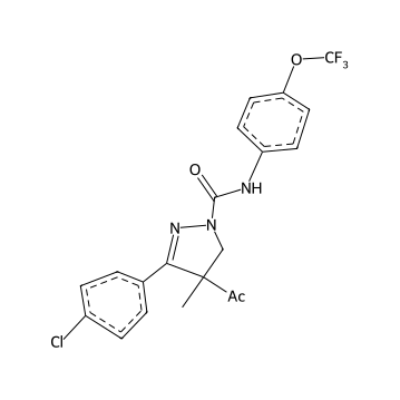 CC(=O)C1(C)CN(C(=O)Nc2ccc(OC(F)(F)F)cc2)N=C1c1ccc(Cl)cc1